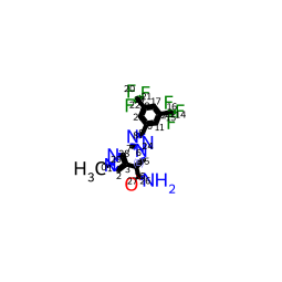 Cn1cc(/C(=C\n2cnc(-c3cc(C(F)(F)F)cc(C(F)(F)F)c3)n2)C(N)=O)cn1